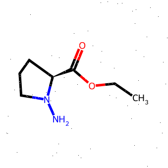 CCOC(=O)[C@@H]1CCCN1N